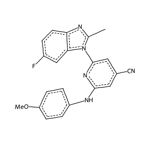 COc1ccc(Nc2cc(C#N)cc(-n3c(C)nc4ccc(F)cc43)n2)cc1